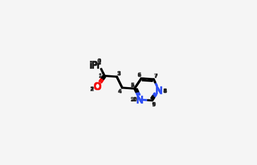 CC(C)C(=O)CCc1ccncn1